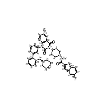 O=C(N[C@H]1CC[C@@H](n2c(=O)c3cc(F)cnc3n(-c3cccc(-c4ccccc4CN4CCOCC4)c3)c2=O)CC1)c1cn2cc(F)ccc2n1